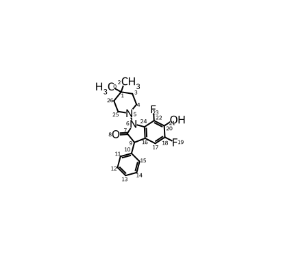 CC1(C)CCN(N2C(=O)C(c3ccccc3)c3cc(F)c(O)c(F)c32)CC1